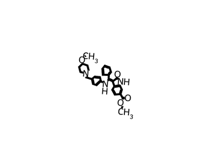 CCOC(=O)c1ccc2c(c1)NC(=O)C2=C(Nc1ccc(CN2CCC(OC)CC2)cc1)c1ccccc1